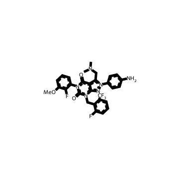 COc1cccc(-n2c(=O)c3c(CN(C)C)n(-c4ccc(N)cc4)nc3n(Cc3c(F)cccc3C(F)(F)F)c2=O)c1F